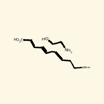 CCCCCCCCCCCC=CC=CC=CC(=O)O.NCCO